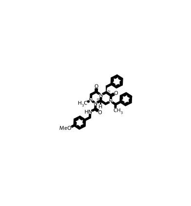 COc1ccc(CNC(=O)N2[C@H]3CN(C(C)c4ccccc4)C(=O)[C@H](Cc4ccccc4)N3C(=O)CN2C)cc1